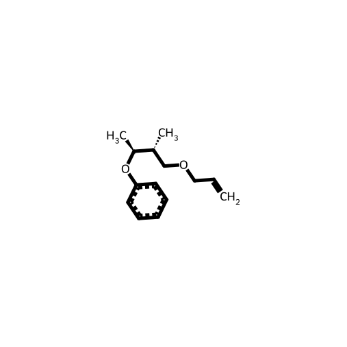 C=CCOC[C@@H](C)[C@H](C)Oc1ccccc1